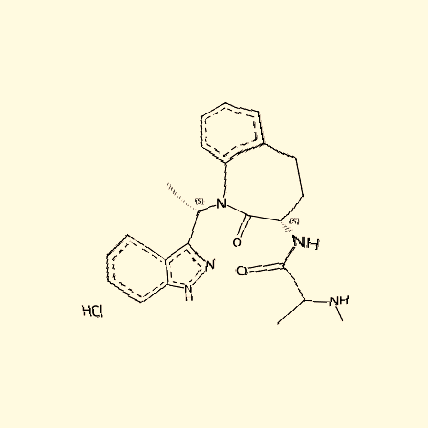 CNC(C)C(=O)N[C@H]1CCc2ccccc2N([C@@H](C)c2n[nH]c3ccccc23)C1=O.Cl